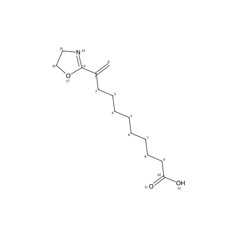 C=C(CCCCCCCCC(=O)O)C1=NCCO1